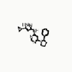 c1ccc(C2CCCN2c2cc(Nc3cc(C4CC4)[nH]n3)ncn2)cc1